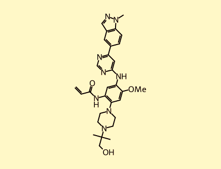 C=CC(=O)Nc1cc(Nc2cc(-c3ccc4c(cnn4C)c3)ncn2)c(OC)cc1N1CCN(C(C)(C)CO)CC1